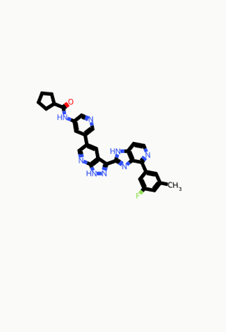 Cc1cc(F)cc(-c2nccc3[nH]c(-c4n[nH]c5ncc(-c6cncc(NC(=O)C7CCCC7)c6)cc45)nc23)c1